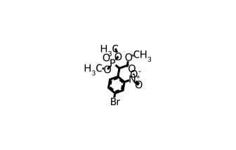 COC(=O)C(c1ccc(Br)cc1[N+](=O)[O-])P(=O)(OC)OC